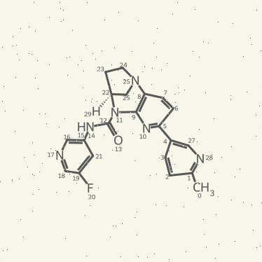 Cc1ccc(-c2ccc3c(n2)N(C(=O)Nc2cncc(F)c2)[C@H]2CCN3C2)cn1